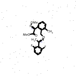 CO/N=C(/C(=O)OC)c1cccc(C)c1CO/N=C(\C)c1c(F)cccc1F